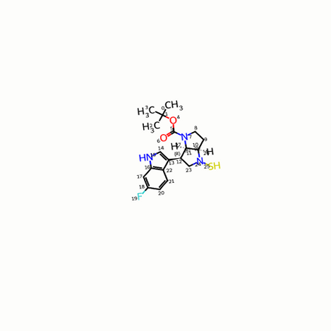 CC(C)(C)OC(=O)N1CC[C@@H]2[C@H]1[C@H](c1c[nH]c3cc(F)ccc13)CN2S